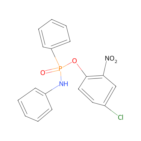 O=[N+]([O-])c1cc(Cl)ccc1OP(=O)(Nc1ccccc1)c1ccccc1